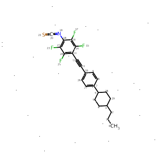 CCCC1CCC(c2ccc(C#Cc3c(F)c(F)c(N=C=S)c(F)c3F)cc2)CC1